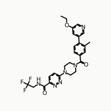 CCOc1cncc(-c2ccc(C(=O)N3CCN(c4ccc(C(=O)NCC(F)(F)F)nn4)CC3)cc2C)c1